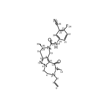 C=CCN1CCn2nc3c(c2C(=O)N1C)CN(C(=O)Nc1ccc(F)c(C#N)c1)[C@H](C)C3